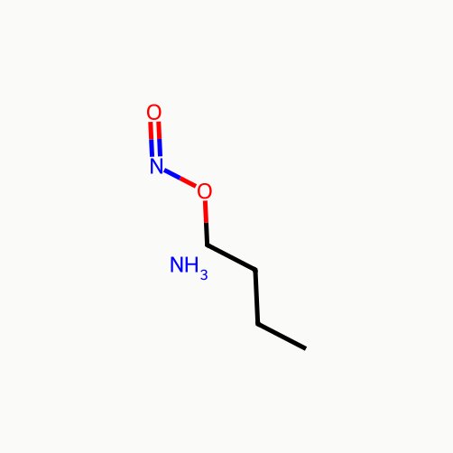 CCCCON=O.N